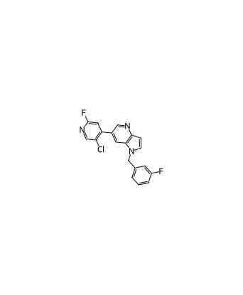 Fc1cccc(Cn2ccc3ncc(-c4cc(F)ncc4Cl)cc32)c1